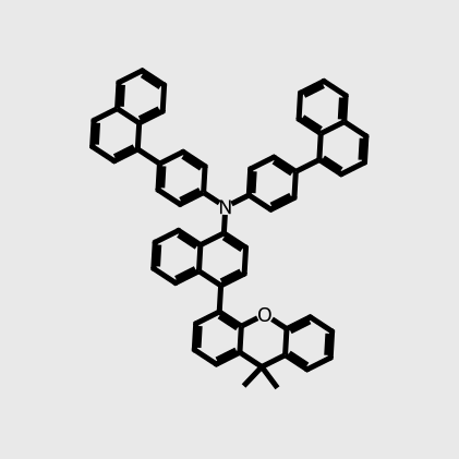 CC1(C)c2ccccc2Oc2c(-c3ccc(N(c4ccc(-c5cccc6ccccc56)cc4)c4ccc(-c5cccc6ccccc56)cc4)c4ccccc34)cccc21